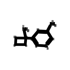 Bc1cncc(C2(N)CCC2)c1